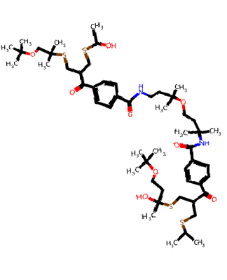 CC(C)SCC(CSC(C)(O)CCOC(C)(C)C)C(=O)c1ccc(C(=O)NC(C)(C)CCOC(C)(C)CCNC(=O)c2ccc(C(=O)C(CSC(C)O)CSC(C)(C)COC(C)(C)C)cc2)cc1